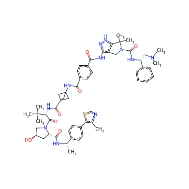 Cc1ncsc1-c1ccc([C@H](C)NC(=O)[C@@H]2C[C@@H](O)CN2C(=O)[C@@H](NC(=O)C23CC(NC(=O)c4ccc(C(=O)Nc5n[nH]c6c5CN(C(=O)N[C@H](CN(C)C)c5ccccc5)C6(C)C)cc4)(C2)C3)C(C)(C)C)cc1